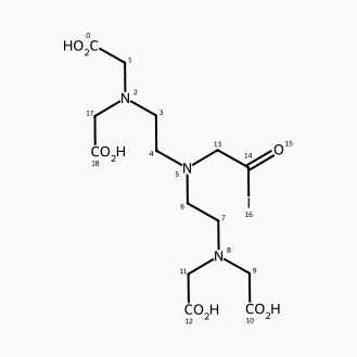 O=C(O)CN(CCN(CCN(CC(=O)O)CC(=O)O)CC(=O)I)CC(=O)O